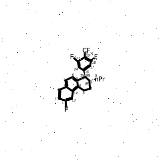 CCC[C@@H]1CCc2c(ccc3ccc(F)cc23)[C@H]1c1cc(F)c(C(F)(F)F)c(F)c1